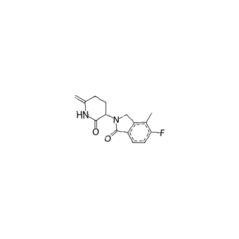 C=C1CCC(N2Cc3c(ccc(F)c3C)C2=O)C(=O)N1